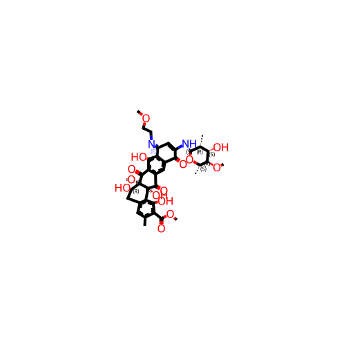 COCC/N=C1\C=C(N[C@H]2O[C@@H](C)[C@H](OC)[C@@H](O)[C@H]2C)C(=O)c2cc3c(c(O)c21)C(=O)[C@]1(OC)[C@H](O)Cc2cc(C)c(C(=O)OC)c(O)c2[C@]1(O)C3=O